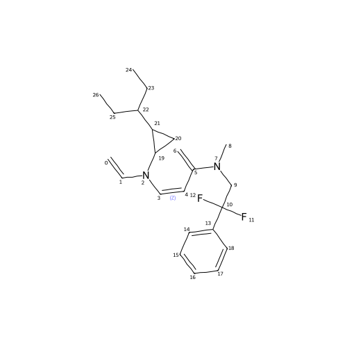 C=CN(/C=C\C(=C)N(C)CC(F)(F)c1ccccc1)C1CC1C(CC)CC